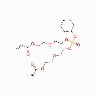 C=CC(=O)OCCOCCOP(=O)(OCCOCCOC(=O)C=C)OC1CCCCC1